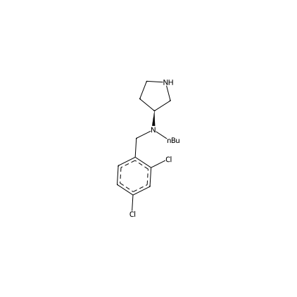 CCCCN(Cc1ccc(Cl)cc1Cl)[C@H]1CCNC1